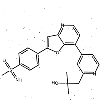 CC(C)(O)Cc1cc(-c2ccnc3cc(-c4ccc(S(C)(=N)=O)cc4)oc23)ccn1